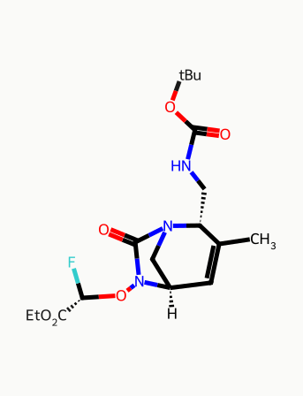 CCOC(=O)[C@H](F)ON1C(=O)N2C[C@H]1C=C(C)[C@H]2CNC(=O)OC(C)(C)C